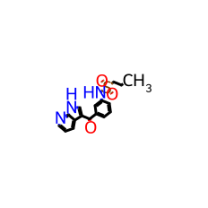 CCCS(=O)(=O)Nc1cccc(C(=O)c2c[nH]c3ncccc23)c1